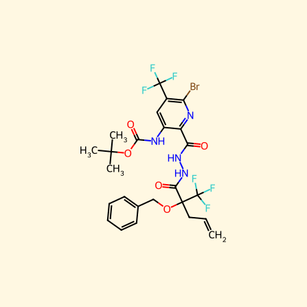 C=CCC(OCc1ccccc1)(C(=O)NNC(=O)c1nc(Br)c(C(F)(F)F)cc1NC(=O)OC(C)(C)C)C(F)(F)F